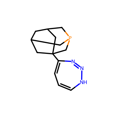 C1=CNN=NC(C23CC4CC(CP(C4)C2)C3)=C1